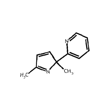 CC1=NC(C)(c2ccccn2)C=C1